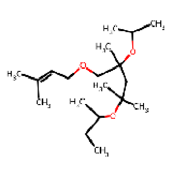 CCC(C)OC(C)(C)CC(C)(COCC=C(C)C)OC(C)C